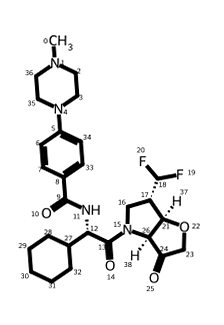 CN1CCN(c2ccc(C(=O)N[C@H](C(=O)N3C[C@H](C(F)F)[C@H]4OCC(=O)[C@H]43)C3CCCCC3)cc2)CC1